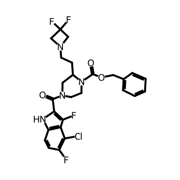 O=C(c1[nH]c2ccc(F)c(Cl)c2c1F)N1CCN(C(=O)OCc2ccccc2)C(CCN2CC(F)(F)C2)C1